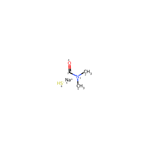 CN(C)C=O.[Na+].[SH-]